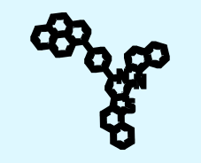 c1ccc2c(c1)ccc1c2nc2c3sc4c5ccccc5ccc4c3cc(-c3ccc(-c4ccc5ccc6cccc7ccc4c5c67)cc3)n12